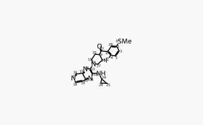 CSc1ccc(F)c(C(=O)C2CCN(c3nc4cnccc4nc3NC3CC3)CC2)c1